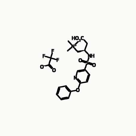 C[N+](C)(C)C[C@@H](CC(=O)O)NS(=O)(=O)c1ccc(Oc2ccccc2)nc1.O=C([O-])C(F)(F)F